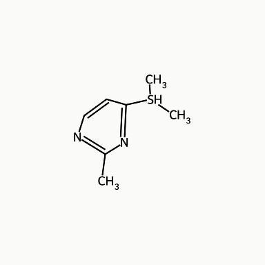 Cc1nccc([SH](C)C)n1